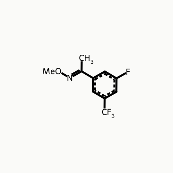 CON=C(C)c1cc(F)cc(C(F)(F)F)c1